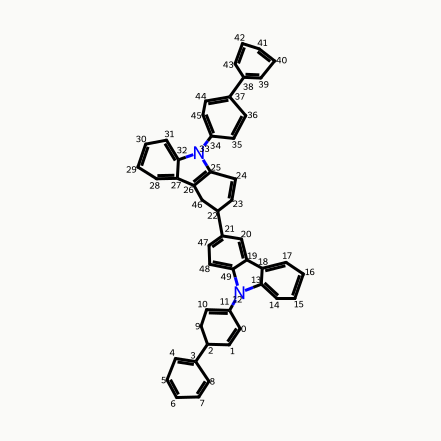 C1=CC(c2ccccc2)CC=C1n1c2ccccc2c2cc(C3C=Cc4c(c5ccccc5n4-c4ccc(-c5ccccc5)cc4)C3)ccc21